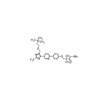 CC(C)(C)CC(=O)C(C)(C)COc1ccc(-c2ccc(-c3nc(C(F)(F)F)nn3COCC[Si](C)(C)C)cn2)cc1